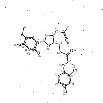 CCc1cn([C@@H]2CC(OC(C)=O)[C@H](CCC(=O)[C@H](C)Oc3ccc(Cl)cc3Cl)O2)c(=O)[nH]c1=O